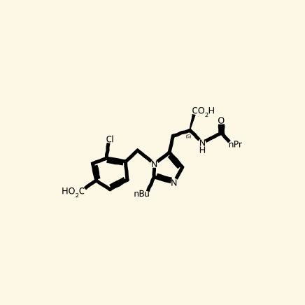 CCCCc1ncc(C[C@H](NC(=O)CCC)C(=O)O)n1Cc1ccc(C(=O)O)cc1Cl